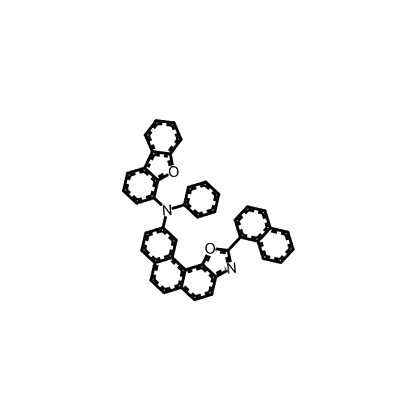 c1ccc(N(c2ccc3ccc4ccc5nc(-c6cccc7ccccc67)oc5c4c3c2)c2cccc3c2oc2ccccc23)cc1